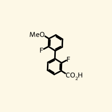 COc1cccc(-c2cccc(C(=O)O)c2F)c1F